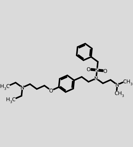 CCN(CC)CCCOc1ccc(CCN(CCN(C)C)S(=O)(=O)Cc2ccccc2)cc1